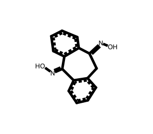 O/N=C1/c2ccccc2C/C(=N\O)c2ccccc21